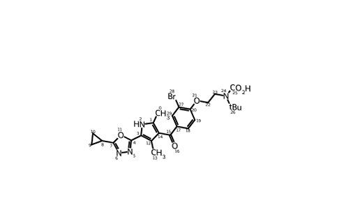 Cc1[nH]c(-c2nnc(C3CC3)o2)c(C)c1C(=O)c1ccc(OCCN(C(=O)O)C(C)(C)C)c(Br)c1